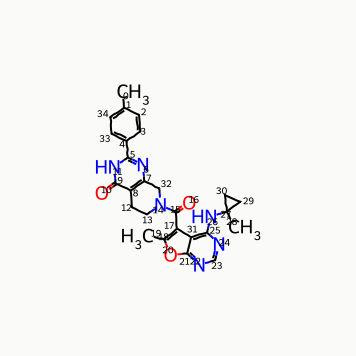 Cc1ccc(-c2nc3c(c(=O)[nH]2)CCN(C(=O)c2c(C)oc4ncnc(NC5(C)CC5)c24)C3)cc1